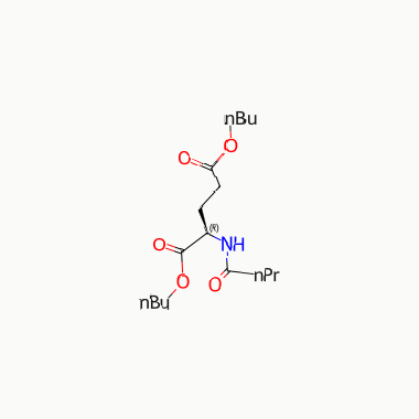 CCCCOC(=O)CC[C@@H](NC(=O)CCC)C(=O)OCCCC